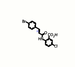 O=C(/C=C/c1ccc(Br)cc1)Nc1ccc(Cl)cc1C(=O)O